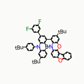 CC(C)(C)c1ccc(N2c3cc(C(C)(C)C)ccc3B3c4c(cc(-c5cc(F)cc(F)c5)cc42)-c2cc(C(C)(C)C)cc4c2N3c2ccc3oc5ccccc5c3c2O4)cc1